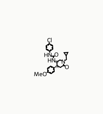 COc1ccc([C@@H]2CC(=O)N(CC3CC3)C[C@H]2NC(=O)Nc2ccc(Cl)cc2)cc1